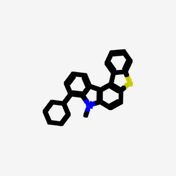 Cn1c2ccc3sc4ccccc4c3c2c2cccc(C3CCCCC3)c21